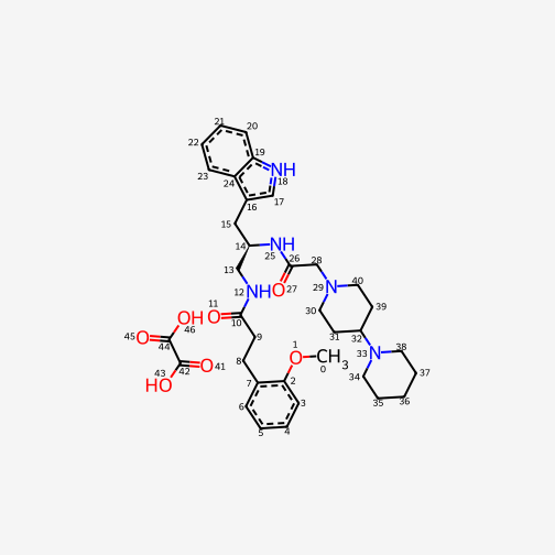 COc1ccccc1CCC(=O)NC[C@@H](Cc1c[nH]c2ccccc12)NC(=O)CN1CCC(N2CCCCC2)CC1.O=C(O)C(=O)O